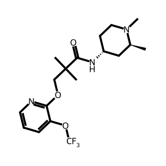 C[C@H]1C[C@H](NC(=O)C(C)(C)COc2ncccc2OC(F)(F)F)CCN1C